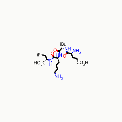 CC[C@H](C)[C@H](NC(=O)[C@@H](N)CCC(=O)O)C(=O)N[C@@H](CCCCN)C(=O)N[C@@H](CC(C)C)C(=O)O